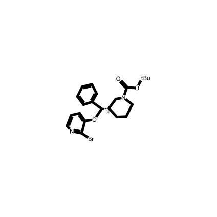 CC(C)(C)OC(=O)N1CCC[C@H](C(Oc2cccnc2Br)c2ccccc2)C1